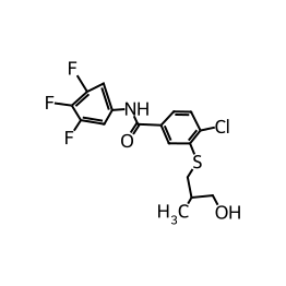 CC(CO)CSc1cc(C(=O)Nc2cc(F)c(F)c(F)c2)ccc1Cl